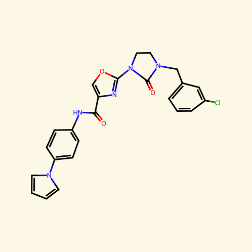 O=C(Nc1ccc(-n2cccc2)cc1)c1coc(N2CCN(Cc3cccc(Cl)c3)C2=O)n1